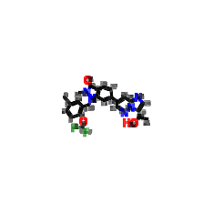 Cc1ccc(OC(F)F)c(Cn2c3cc(-c4cnn5c([C@@H](C)O)cnc5c4)ccc3c(=O)n2C)c1